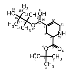 CC(C)(C)OC(=O)C1CC(B(O)OC(C)(C)C(C)(C)O)=CCN1